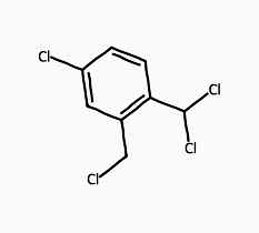 ClCc1cc(Cl)ccc1C(Cl)Cl